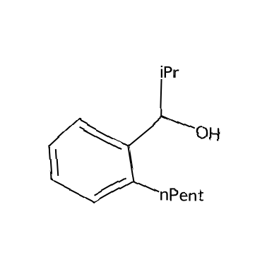 CCCCCc1ccccc1C(O)C(C)C